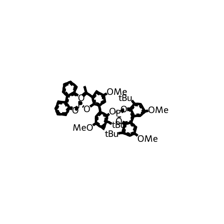 C=C(C)c1cc(OC)cc(-c2cc(OC)cc(C(C)(C)C)c2Op2oc3c(C(C)(C)C)cc(OC)cc3c3cc(OC)cc(C(C)(C)C)c3o2)c1Op1oc2ccccc2c2ccccc2o1